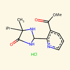 COC(=O)c1cccnc1C1NC(=O)C(C)(C(C)C)N1.Cl